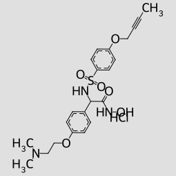 CC#CCOc1ccc(S(=O)(=O)NC(C(=O)NO)c2ccc(OCCN(C)C)cc2)cc1.Cl